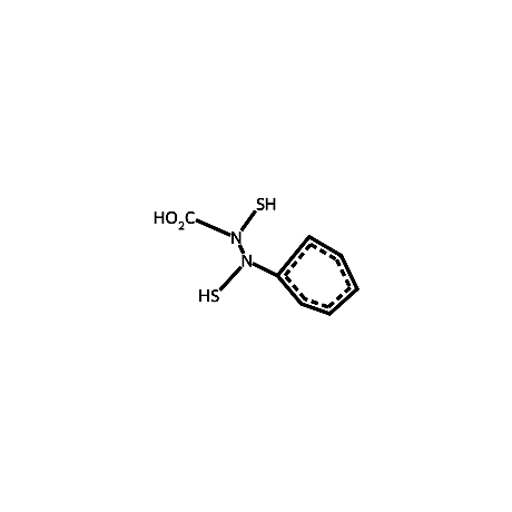 O=C(O)N(S)N(S)c1ccccc1